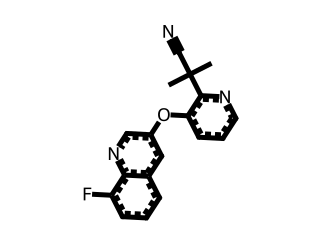 CC(C)(C#N)c1ncccc1Oc1cnc2c(F)cccc2c1